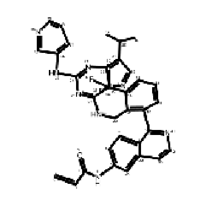 C=CC(=O)Nc1ccc2c(-c3cccc(C(F)(F)F)c3CNc3nc(Nc4cccnc4)nc4c(C(C)C)cnn34)nccc2c1